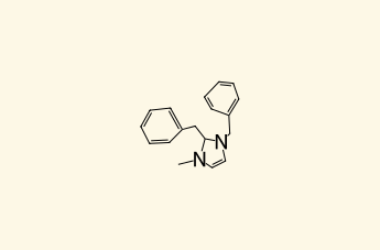 CN1C=CN(Cc2ccccc2)C1Cc1ccccc1